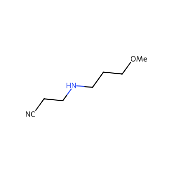 COCCCNCCC#N